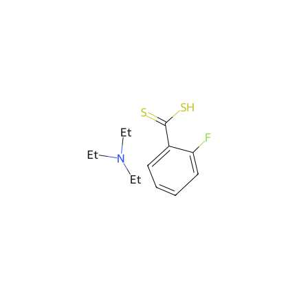 CCN(CC)CC.Fc1ccccc1C(=S)S